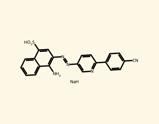 N#Cc1ccc(-c2ccc(N=Nc3cc(S(=O)(=O)O)c4ccccc4c3N)cn2)cc1.[NaH]